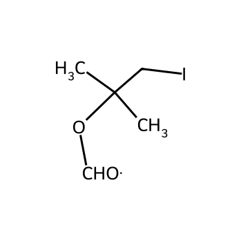 CC(C)(CI)O[C]=O